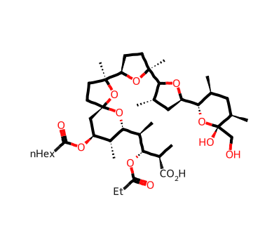 CCCCCCC(=O)O[C@H]1C[C@]2(CC[C@@](C)([C@H]3CC[C@@](C)(C4O[C@@H]([C@H]5O[C@@](O)(CO)[C@H](C)C[C@@H]5C)C[C@@H]4C)O3)O2)O[C@H]([C@@H](C)[C@@H](OC(=O)CC)[C@@H](C)C(=O)O)[C@@H]1C